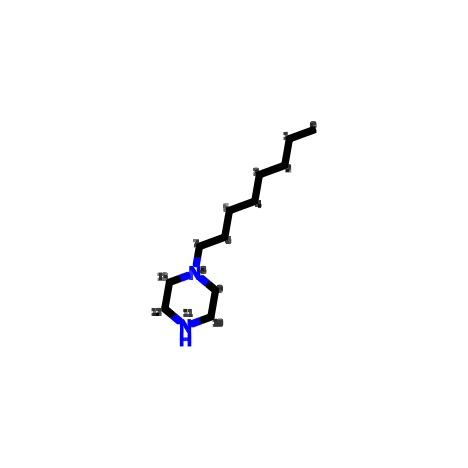 CCCCCCCCN1CCNCC1